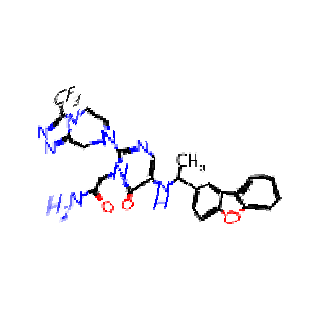 CC(Nc1cnc(N2CCn3c(nnc3C(F)(F)F)C2)n(CC(N)=O)c1=O)c1ccc2oc3ccccc3c2c1